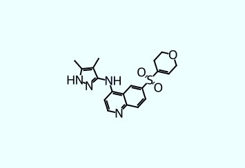 Cc1[nH]nc(Nc2ccnc3ccc(S(=O)(=O)C4=CCOCC4)cc23)c1C